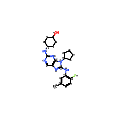 O[C@H]1CC[C@H](Nc2ncc3nc(Nc4cc(C(F)(F)F)ccc4F)n(C4CCCC4)c3n2)CC1